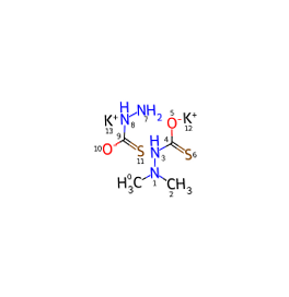 CN(C)NC([O-])=S.NNC([O-])=S.[K+].[K+]